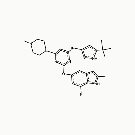 Cc1cc2cc(Oc3nc(Nc4cc(C(C)(C)C)[nH]n4)cc(N4CCN(C)CC4)n3)cc(F)c2[nH]1